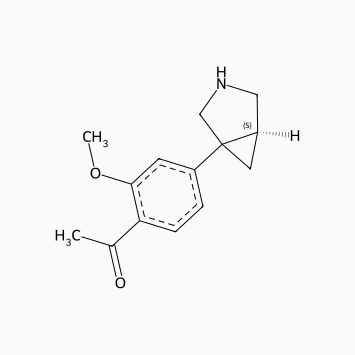 COc1cc(C23CNC[C@H]2C3)ccc1C(C)=O